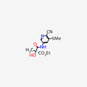 CCOC(=O)[C@@](C)(O)C(=O)Nc1cnc(C#N)c(SC)c1